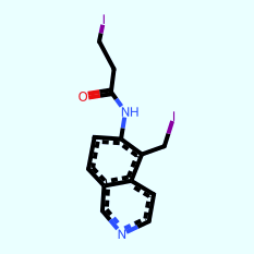 O=C(CCI)Nc1ccc2cnccc2c1CI